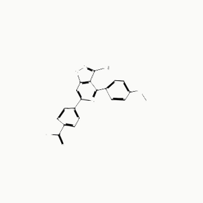 COc1ccc(-c2nc(-c3ccc(C(=O)O)cc3)cc3[nH]nc(N)c23)cc1